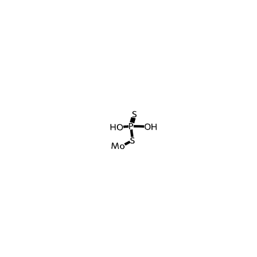 OP(O)(=S)[S][Mo]